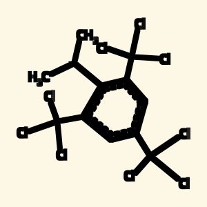 C[C](C)c1c(C(Cl)(Cl)Cl)cc(C(Cl)(Cl)Cl)cc1C(Cl)(Cl)Cl